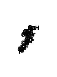 CC(=O)N(Cc1cccc(-c2sc(C(=O)O)c(OCC(=O)O)c2Br)c1)c1ccc(C(F)(F)F)cc1